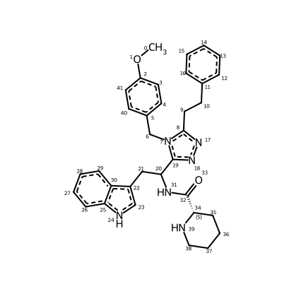 COc1ccc(Cn2c(CCc3ccccc3)nnc2C(Cc2c[nH]c3ccccc23)NC(=O)[C@@H]2CCCCN2)cc1